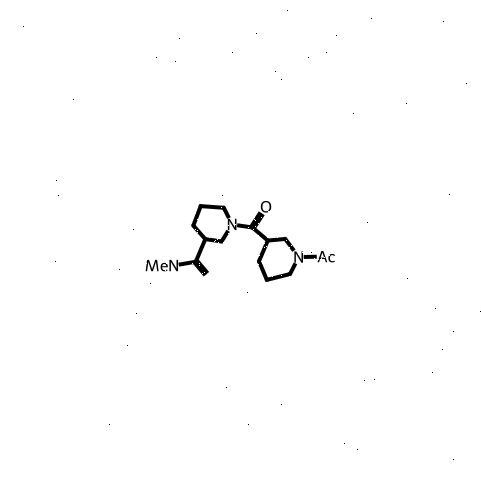 C=C(NC)C1CCCN(C(=O)C2CCCN(C(C)=O)C2)C1